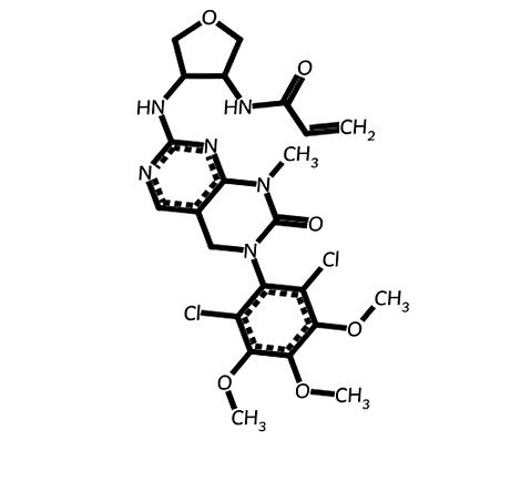 C=CC(=O)NC1COCC1Nc1ncc2c(n1)N(C)C(=O)N(c1c(Cl)c(OC)c(OC)c(OC)c1Cl)C2